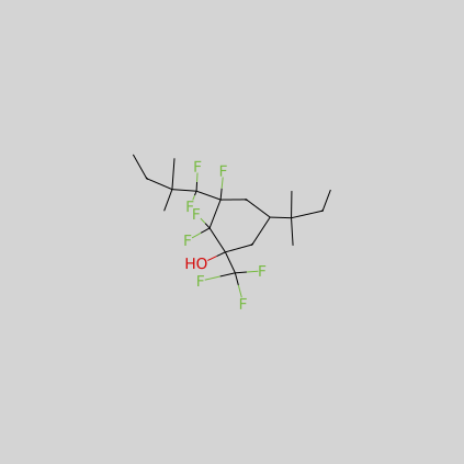 CCC(C)(C)C1CC(O)(C(F)(F)F)C(F)(F)C(F)(C(F)(F)C(C)(C)CC)C1